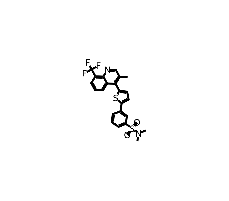 Cc1cnc2c(C(F)(F)F)cccc2c1-c1ccc(-c2cccc(S(=O)(=O)N(C)C)c2)s1